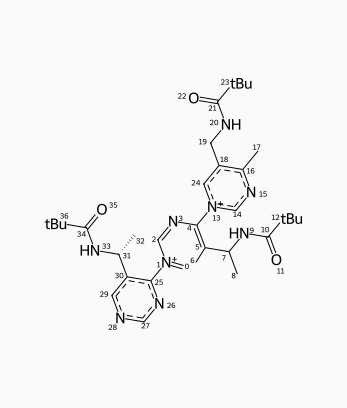 C=[N+](/C=N\C(=C(/C)C(C)NC(=O)C(C)(C)C)[n+]1cnc(C)c(CNC(=O)C(C)(C)C)c1)c1ncncc1[C@@H](C)NC(=O)C(C)(C)C